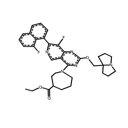 CCOC(=O)C1CCCN(c2nc(OCC34CCCN3CCC4)nc3c(F)c(-c4cccc5cccc(F)c45)ncc23)CC1